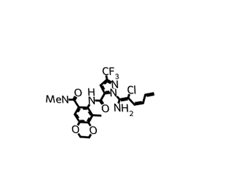 C=C/C=C\C(Cl)=C(/N)n1nc(C(F)(F)F)cc1C(=O)Nc1c(C(=O)NC)cc2c(c1C)OCCO2